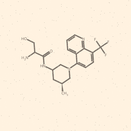 C[C@H]1CC(NC(=O)C(N)CO)CN(c2ccc(C(F)(F)F)c3ncccc23)C1